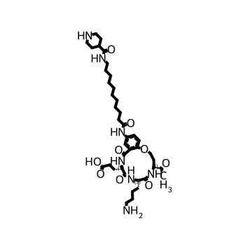 CC(=O)[C@@H]1CCOc2ccc(NC(=O)CCCCCCCCCCNC(=O)C3CCNCC3)cc2C(=O)N[C@@H](CCC(=O)O)C(=O)N[C@@H](CCCCN)C(=O)N1